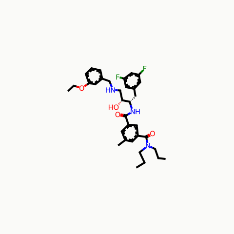 CCCN(CCC)C(=O)c1cc(C)cc(C(=O)N[C@@H](Cc2cc(F)cc(F)c2)[C@H](O)CNCc2cccc(OCC)c2)c1